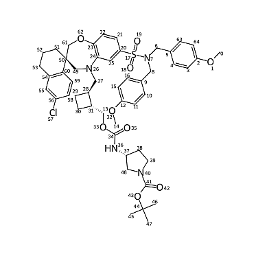 COc1ccc(CN(Cc2ccc(OC)cc2)S(=O)(=O)c2ccc3c(c2)N(C[C@@H]2CC[C@H]2COC(=O)N[C@@H]2CCN(C(=O)OC(C)(C)C)C2)C[C@@]2(CCCc4cc(Cl)ccc42)CO3)cc1